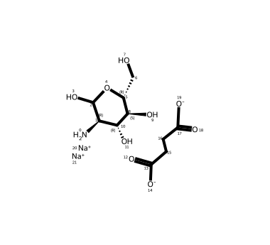 N[C@H]1C(O)O[C@H](CO)[C@@H](O)[C@@H]1O.O=C([O-])CCC(=O)[O-].[Na+].[Na+]